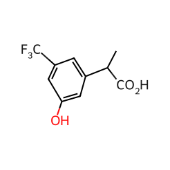 CC(C(=O)O)c1cc(O)cc(C(F)(F)F)c1